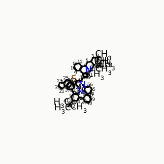 CC(C)CC1CC2C3=C(C=CCC3)C3C(C4C5=C(C6C=C7C=CCC7=CC6S5)C5N(C6=C(C7C=CC=CC7)CC(C(C)(C)C)CC6C6C=CC=CC6)c6ccccc6N45)=CC3(C)N2CC1[Si](C)(C)C